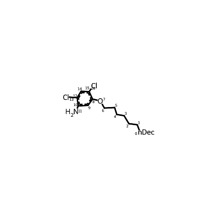 CCCCCCCCCCCCCCCCOc1cc(N)c(Cl)cc1Cl